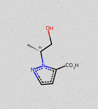 C[C@H](CO)n1nccc1C(=O)O